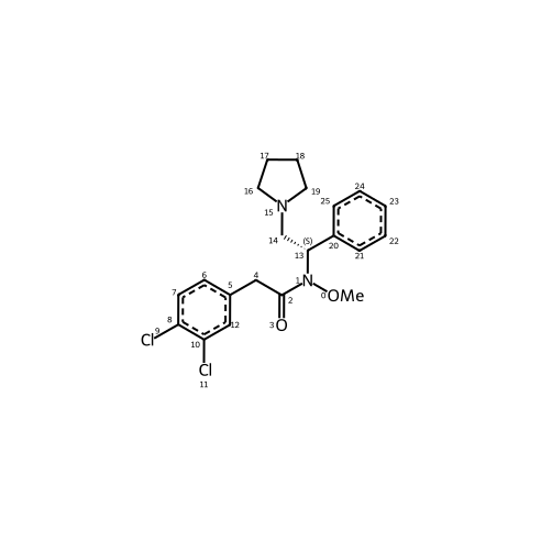 CON(C(=O)Cc1ccc(Cl)c(Cl)c1)[C@H](CN1CCCC1)c1ccccc1